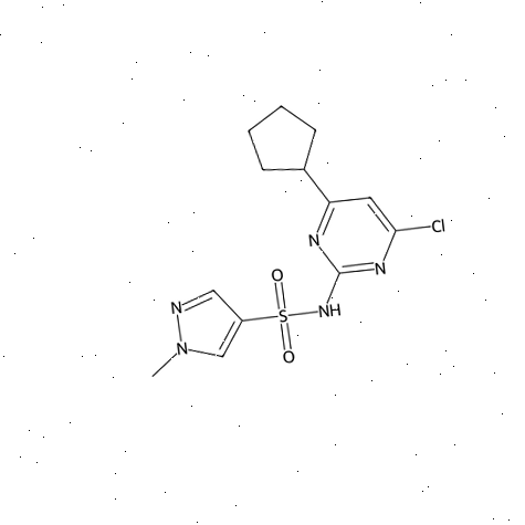 Cn1cc(S(=O)(=O)Nc2nc(Cl)cc(C3CCCC3)n2)cn1